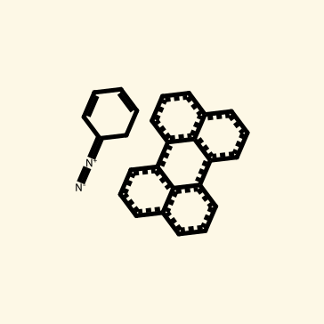 [N-]=[N+]=C1C=CC=CC1.c1cc2cccc3c4cccc5cccc(c(c1)c23)c54